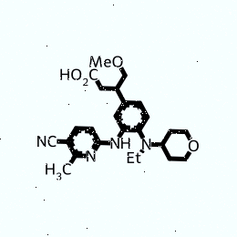 CCN(c1ccc(C(COC)CC(=O)O)cc1Nc1ccc(C#N)c(C)n1)C1CCOCC1